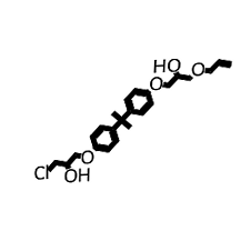 C=CCOCC(O)COc1ccc(C(C)(C)c2ccc(OCC(O)CCl)cc2)cc1